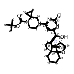 CC(C)(C)OC(=O)N1CCN(c2cc(/C(O)=C3\CCC[C@@]4(CCCCC45OCCO5)C3=N)nc(Cl)n2)CC12CC2